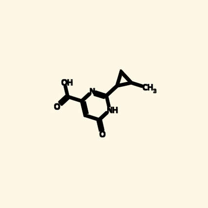 CC1CC1c1nc(C(=O)O)cc(=O)[nH]1